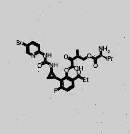 CCC(=O)c1ccc(F)c(C2CC2NC(=O)Nc2ccc(Br)cn2)c1OC(O)C(=O)C(C)COC(=O)[C@@H](N)C(C)C